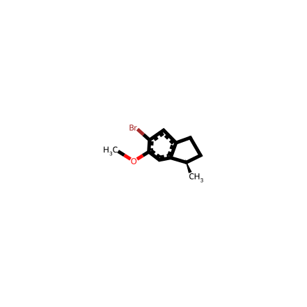 COc1cc2c(cc1Br)CC[C@H]2C